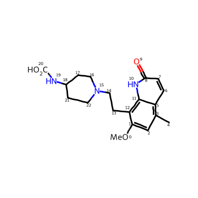 COc1cc(C)c2ccc(=O)[nH]c2c1CCN1CCC(NC(=O)O)CC1